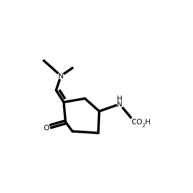 CN(C)C=C1CC(NC(=O)O)CCC1=O